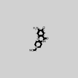 N#CCN1CCC2(CC1)NC(=O)c1cc(Cl)c(N)cc1O2